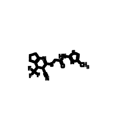 Cc1csc(NC(=O)CSC2=NC3=C(CCC3)C(C(F)(F)F)C2C#N)n1